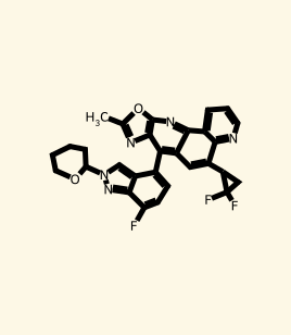 Cc1nc2c(-c3ccc(F)c4nn(C5CCCCO5)cc34)c3cc(C4CC4(F)F)c4ncccc4c3nc2o1